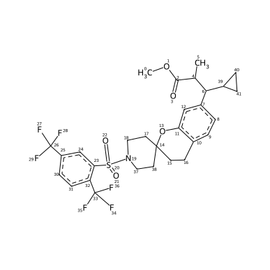 COC(=O)C(C)C(c1ccc2c(c1)OC1(CC2)CCN(S(=O)(=O)c2cc(C(F)(F)F)ccc2C(F)(F)F)CC1)C1CC1